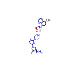 C[C@@H]1CN(c2ccc(C#N)c3nccnc23)C[C@H](CN2CCN(c3nccc(N4C[C@@H](N)[C@H](F)C4)n3)CC2)O1